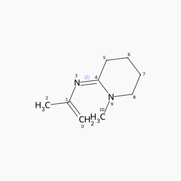 C=C(C)/N=C1/CCCCN1C